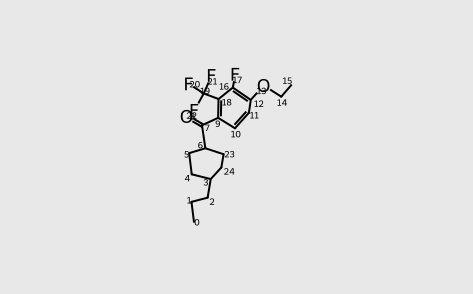 CCCC1CCC(C(=O)c2ccc(OCC)c(F)c2C(F)(F)F)CC1